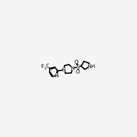 O=S(=O)([C@H]1CCNC1)N1CCN(c2cc(C(F)(F)F)ccn2)CC1